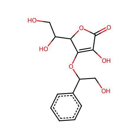 O=C1OC(C(O)CO)C(OC(CO)c2ccccc2)=C1O